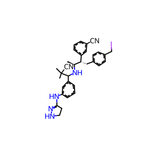 C[C@H](NC(c1cccc(NC2=NNCC2)c1)C(C)(C)C#N)[C@@H](Cc1ccc(CI)cc1)c1cccc(C#N)c1